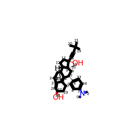 CN(C)c1ccc([C@H]2C[C@@]3(C)[C@@H](CC[C@@]3(O)C#CC(C)(C)C)[C@@H]3CCC4=CC(O)CCC4=C32)cc1